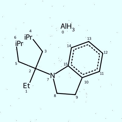 [AlH3].[CH2]CC(CC(C)C)(CC(C)C)N1CCc2ccccc21